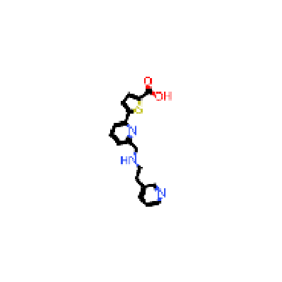 O=C(O)c1ccc(-c2cccc(CNCCc3cccnc3)n2)s1